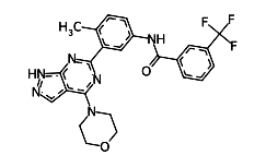 Cc1ccc(NC(=O)c2cccc(C(F)(F)F)c2)cc1-c1nc(N2CCOCC2)c2cn[nH]c2n1